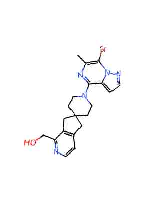 Cc1nc(N2CCC3(CC2)Cc2ccnc(CO)c2C3)c2ccnn2c1Br